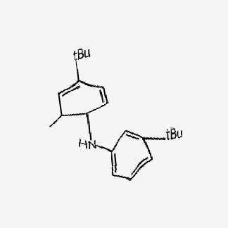 CC1C=C(C(C)(C)C)C=CC1Nc1cccc(C(C)(C)C)c1